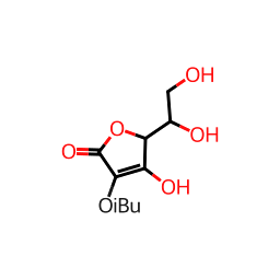 CC(C)COC1=C(O)C(C(O)CO)OC1=O